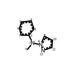 CN(c1ccccc1)n1cccn1